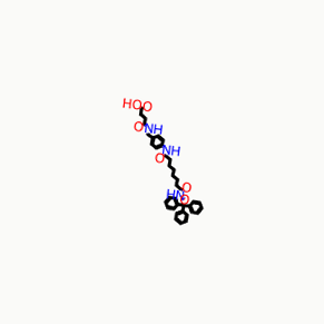 O=C(O)CCC(=O)NCc1ccc(NC(=O)CCCCCCC(=O)NOC(c2ccccc2)(c2ccccc2)c2ccccc2)cc1